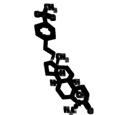 CN1C(=O)C=C[C@@]2(C)C1CC[C@H]1[C@@H]3CC[C@H](CCc4ccc(S(C)(=O)=O)cc4)[C@@]3(C)CC[C@@H]12